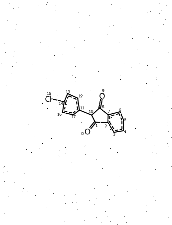 O=C1c2ccccc2C(=O)C1c1ccc(Cl)cc1